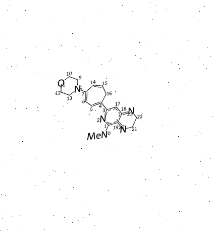 CNc1nc(C2=CC=C(N3CCOCC3)C=CC2)cc2c1=NCCN=2